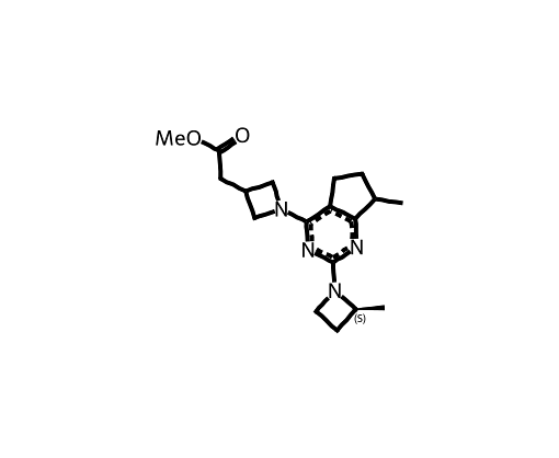 COC(=O)CC1CN(c2nc(N3CC[C@@H]3C)nc3c2CCC3C)C1